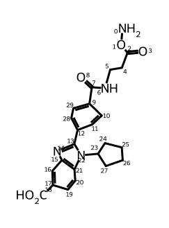 NOC(=O)CCNC(=O)c1ccc(-c2nc3cc(C(=O)O)ccc3n2C2CCCC2)cc1